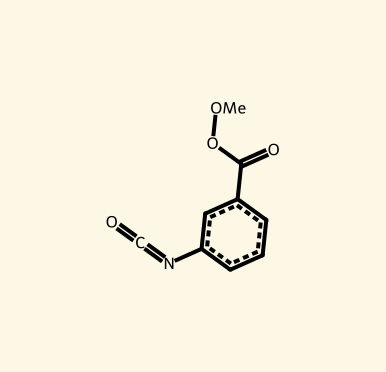 COOC(=O)c1cccc(N=C=O)c1